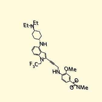 CCN(CC)[C@H]1CC[C@H](Nc2cccc3c2cc(C#CCNc2ccc(S(=O)(=O)NC)cc2OC)n3CC(F)(F)F)CC1